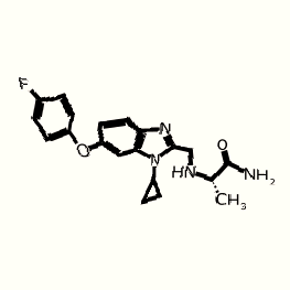 C[C@H](NCc1nc2ccc(Oc3ccc(F)cc3)cc2n1C1CC1)C(N)=O